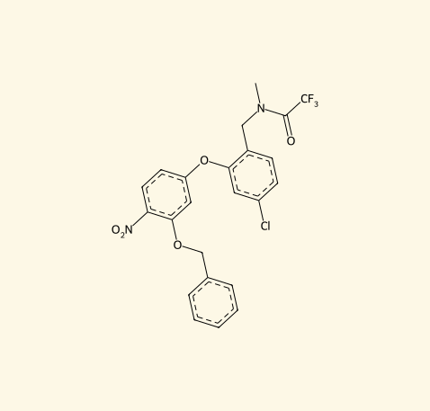 CN(Cc1ccc(Cl)cc1Oc1ccc([N+](=O)[O-])c(OCc2ccccc2)c1)C(=O)C(F)(F)F